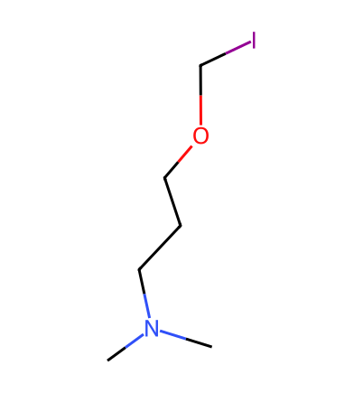 CN(C)CCCOCI